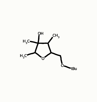 CC1OC(COC(C)(C)C)C(C)C1(C)O